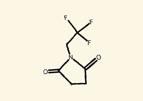 O=C1[CH]CC(=O)N1CC(F)(F)F